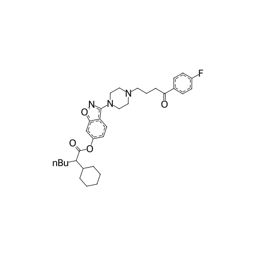 CCCCC(C(=O)Oc1ccc2c(N3CCN(CCCC(=O)c4ccc(F)cc4)CC3)noc2c1)C1CCCCC1